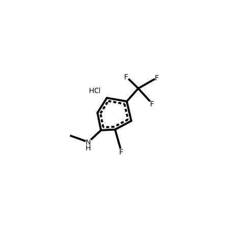 CNc1ccc(C(F)(F)F)cc1F.Cl